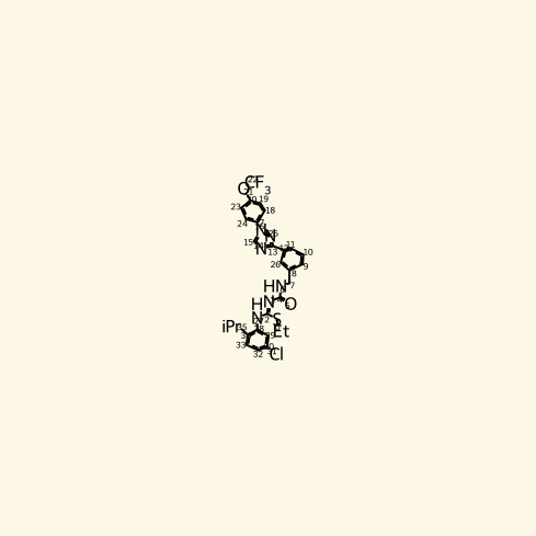 CCS/C(=N\C(=O)NCc1cccc(-c2ncn(-c3ccc(OC(F)(F)F)cc3)n2)c1)Nc1cc(Cl)ccc1C(C)C